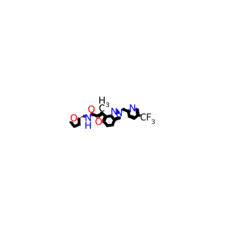 Cc1c(C(=O)NC[C@@H]2CCCO2)oc2c1-c1nn(Cc3ccc(C(F)(F)F)cn3)cc1CC2